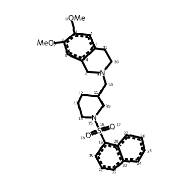 COc1cc2c(cc1OC)CN(CC1CCCN(S(=O)(=O)c3cccc4ccccc34)C1)CC2